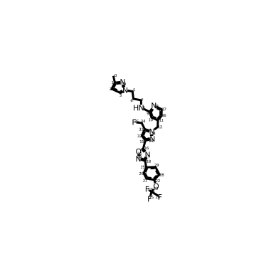 Cc1ccn(CCCNc2cc(Cn3nc(-c4nc(-c5ccc(OC(F)(F)F)cc5)no4)cc3CF)ccn2)n1